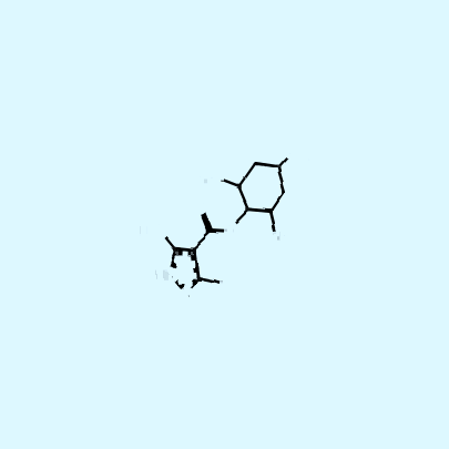 CCCCC1CC(C)CC(CCCC)C1OC(=O)c1c(C)n[nH]c1C